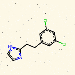 Clc1cc(Cl)cc(CCc2ncc[nH]2)c1